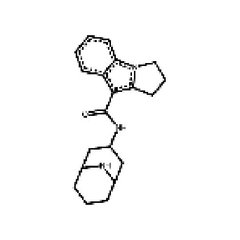 O=C(NC1CC2CCCC(C1)N2)c1c2n(c3ccccc13)CCC2